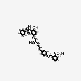 O=C(O)c1ccccc1COc1ccc(CCNC[C@H](O)COc2ccc(O)c(NS(=O)(=O)c3ccccc3)c2)cc1